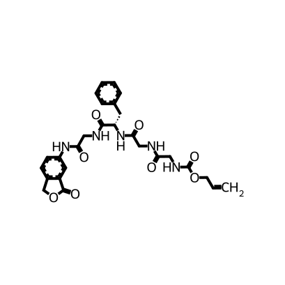 C=CCOC(=O)NCC(=O)NCC(=O)N[C@@H](Cc1ccccc1)C(=O)NCC(=O)Nc1ccc2c(c1)C(=O)OC2